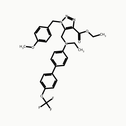 CCOC(=O)c1nnn(Cc2ccc(OC)cc2)c1CN(CC)c1ccc(-c2ccc(OC(F)(F)F)cc2)cc1